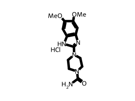 COc1cc2nc(N3CCN(C(N)=O)CC3)[nH]c2cc1OC.Cl